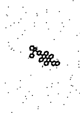 C1=CC2=NC(c3ccc(-c4c5ccccc5c(-c5c6ccccc6c(-c6ccc7ccccc7c6)c6ccccc56)c5ccccc45)cc3)=C(c3ccccc3)C2C=C1